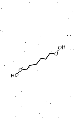 OOCCCCCCOO